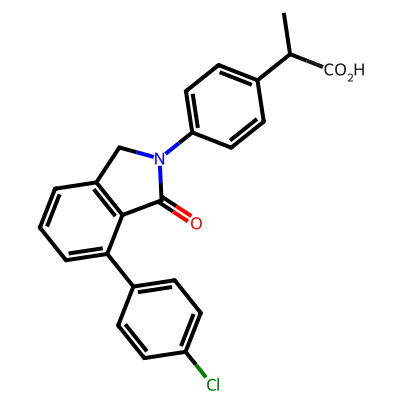 CC(C(=O)O)c1ccc(N2Cc3cccc(-c4ccc(Cl)cc4)c3C2=O)cc1